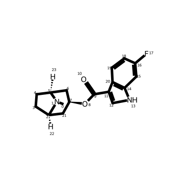 CN1[C@@H]2CC[C@H]1C[C@@H](OC(=O)c1c[nH]c3cc(F)ccc13)C2